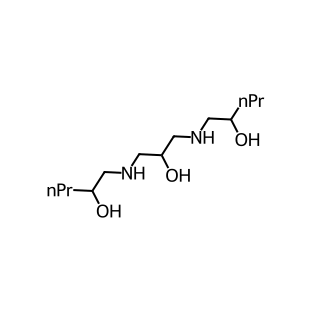 CCCC(O)CNCC(O)CNCC(O)CCC